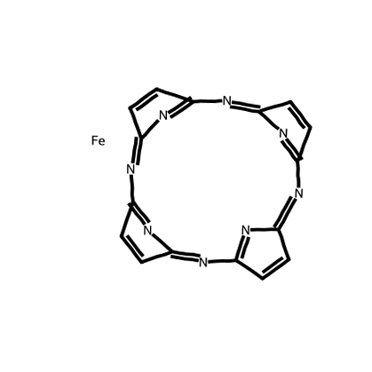 C1=C/C2=N/C3=NC(=N\C4=NC(=N\C5=NC(=N\C1=N2)/C=C5)/C=C4)/C=C3.[Fe]